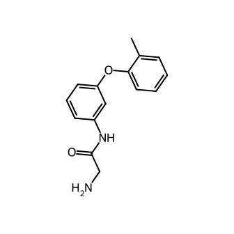 Cc1ccccc1Oc1cccc(NC(=O)CN)c1